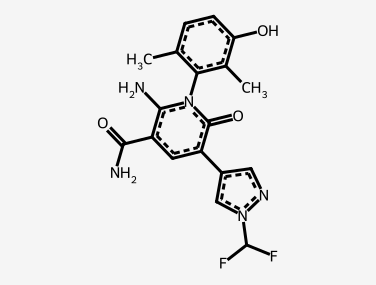 Cc1ccc(O)c(C)c1-n1c(N)c(C(N)=O)cc(-c2cnn(C(F)F)c2)c1=O